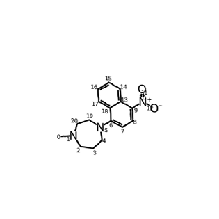 CN1CCCN(c2ccc([N+](=O)[O-])c3ccccc23)CC1